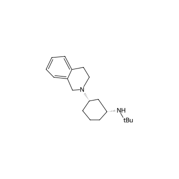 CC(C)(C)N[C@@H]1CCC[C@H](N2CCc3ccccc3C2)C1